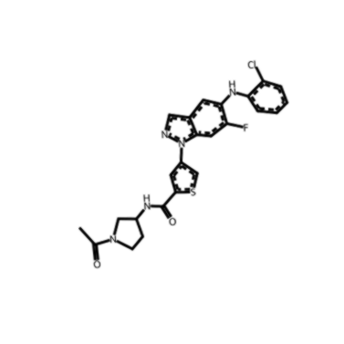 CC(=O)N1CCC(NC(=O)c2cc(-n3ncc4cc(Nc5ccccc5Cl)c(F)cc43)cs2)C1